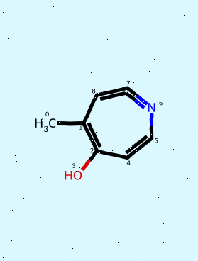 CC1=C(O)C=CN=C=C1